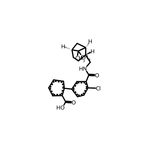 CC1(C)[C@H]2CC[C@@H](CNC(=O)c3cc(-c4ccccc4C(=O)O)ccc3Cl)[C@@H]1C2